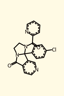 O=C(c1ccccn1)N1CCN2C(=O)c3ccncc3C12c1ccc(Cl)cc1